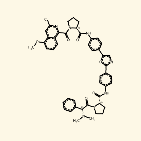 COc1cccc2c(C(=O)N3CCC[C@H]3C(=O)Nc3ccc(-c4cnc(-c5ccc(NC(=O)[C@@H]6CCCN6C(=O)[C@@H](c6ccccc6)N(C)C)cc5)o4)cc3)nc(Cl)cc12